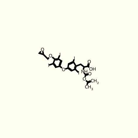 C=C(C)OC(=O)NC(Cc1c(I)cc(Oc2cc(I)c(OCC3CO3)c(I)c2)cc1I)C(=O)O